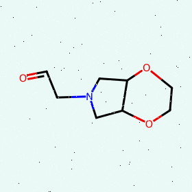 O=CCN1CC2OCCOC2C1